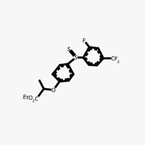 CCOC(=O)C(C)Oc1ccc(S(=S)c2ccc(C(F)(F)F)cc2F)cc1